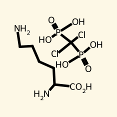 NCCCCC(N)C(=O)O.O=P(O)(O)C(Cl)(Cl)P(=O)(O)O